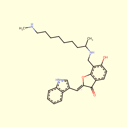 CNCCCCCCCC(C)NCc1c(O)ccc2c1O/C(=C\c1c[nH]c3ccccc13)C2=O